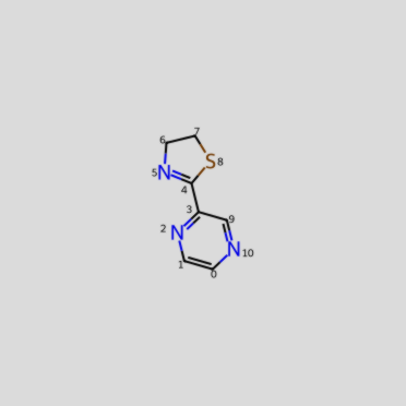 c1cnc(C2=NCCS2)cn1